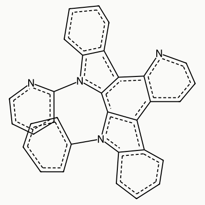 c1ccc(-n2c3ccccc3c3c4cccnc4c4c5ccccc5n(-c5ccccn5)c4c32)cc1